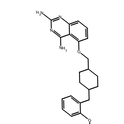 COc1ccccc1CC1CCC(COc2cccc3nc(N)nc(N)c23)CC1